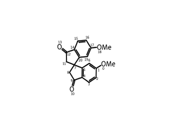 COc1ccc2c(c1)C1(CC2=O)CC(=O)c2ccc(OC)cc21